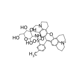 Cc1ccc(C2=c3cc4c5c(c3Oc3c2cc2c6c3CCCN6CCC2)CCC[N+]=5CCC4)c(S(=O)(=O)NC2C(O)OC(CO)[C@H](O)[C@@H]2O)c1